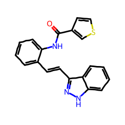 O=C(Nc1ccccc1C=Cc1n[nH]c2ccccc12)c1ccsc1